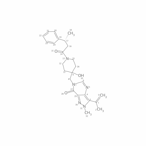 C=C(C)c1c2ncn(CC3(O)CCN(C(=O)C[C@@H](C)c4ccccc4)CC3)c(=O)c2nn1C